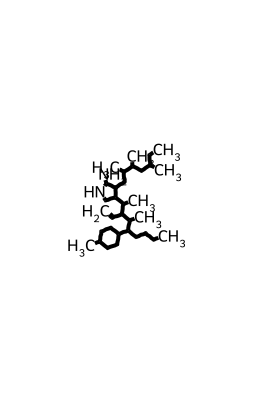 C=CC(C(C)C(CCCC)C1CCC(C)CC1)C(C)C1CNC(N)C1CC(C)C(C)CC(C)CC